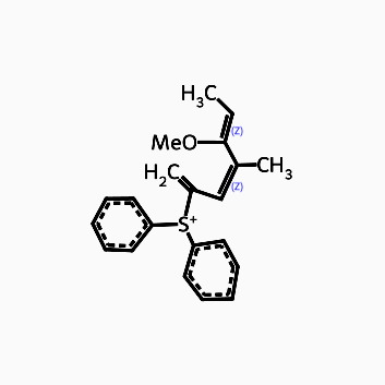 C=C(/C=C(C)\C(=C\C)OC)[S+](c1ccccc1)c1ccccc1